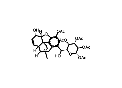 CC(=O)Oc1cc(C(O)[C@H]2O[C@@H](OC(C)=O)[C@H](OC(C)=O)[C@@H](OC(C)=O)[C@@H]2OC(C)=O)c2c3c1O[C@H]1[C@@H](O)C=C[C@H]4[C@@H](C2)N(C)CC[C@@]341